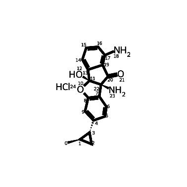 C[C@@H]1C[C@H]1c1ccc2c(c1)O[C@]1(O)c3cccc(N)c3C(=O)[C@]21N.Cl